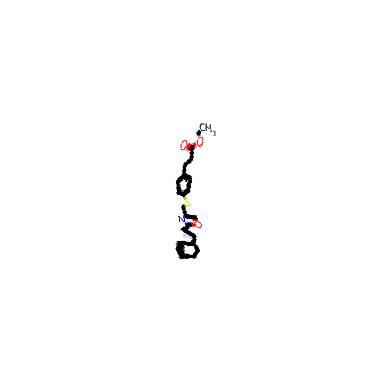 CCOC(=O)CCc1ccc(SCc2coc(/C=C/c3ccccc3)n2)cc1